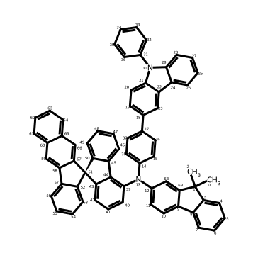 CC1(C)c2ccccc2-c2ccc(N(c3ccc(-c4ccc5c(c4)c4ccccc4n5-c4ccccc4)cc3)c3cccc4c3-c3ccccc3[C@]43c4ccccc4-c4cc5ccccc5cc43)cc21